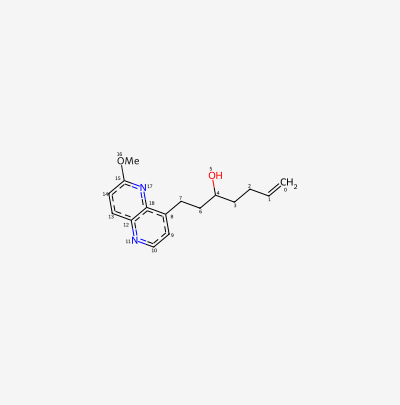 C=CCCC(O)CCc1ccnc2ccc(OC)nc12